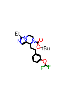 CCc1ncc2n1CCN(C(=O)OC(C)(C)C)C2CCc1cccc(OC(F)F)c1